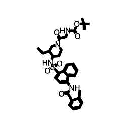 CCC1CN(C(=O)CNC(=O)OC(C)(C)C)CCC1NS(=O)(=O)c1ccc(NC(=O)c2ccccc2C)c2ccccc12